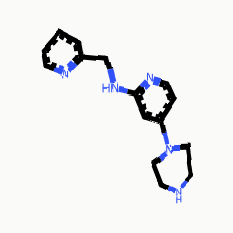 c1ccc(CNc2cc(N3CCNCC3)ccn2)nc1